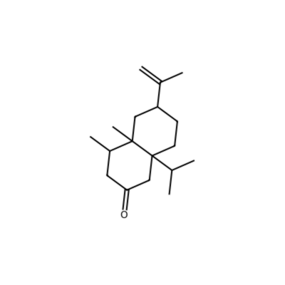 C=C(C)C1CCC2(C(C)C)CC(=O)CC(C)C2(C)C1